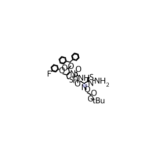 CC(C)(C)OC(=O)CO/N=C(/C(=O)NC1C(=O)N2C(C(=O)OC(c3ccccc3)c3ccccc3)=C(COc3cccc(F)c3)CS[C@H]12)c1csc(N)n1